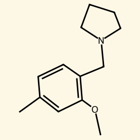 COc1cc(C)ccc1CN1CCCC1